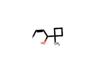 CC1(C(O)/C=C\I)CCC1